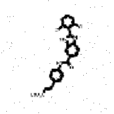 CCOC(=O)C=Cc1ccc(NC(=O)c2ccc3nc(-c4c(Cl)cccc4Cl)[nH]c3c2)cc1